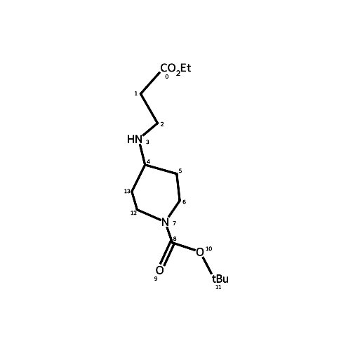 CCOC(=O)CCNC1CCN(C(=O)OC(C)(C)C)CC1